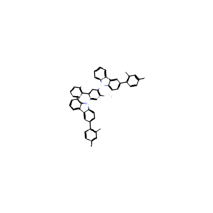 Cc1ccc(-c2ccc3c(c2)c2ccccc2n3-c2cc(-c3c(C(F)(F)F)cccc3C(F)(F)F)c(-n3c4ccccc4c4cc(-c5ccc(C)cc5C)ccc43)cc2C#N)c(C)c1